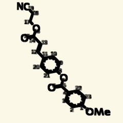 COc1ccc(C(=O)Oc2ccc(/C=C/C(=O)OCCC#N)cc2)cc1